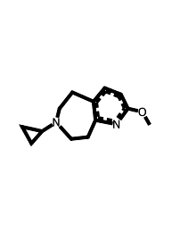 COc1ccc2c(n1)CCN(C1CC1)CC2